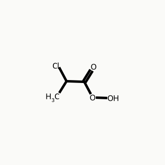 CC(Cl)C(=O)OO